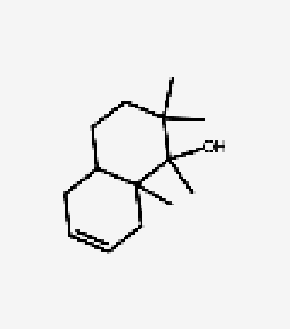 CC1(C)CCC2CC=CCC2(C)C1(C)O